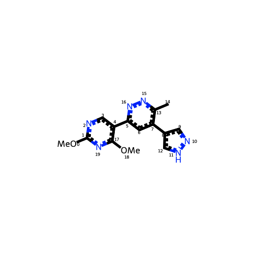 COc1ncc(-c2cc(-c3cn[nH]c3)c(C)nn2)c(OC)n1